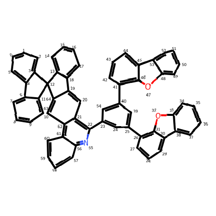 c1ccc2c(c1)-c1ccccc1C21c2ccccc2-c2cc3c(-c4cc(-c5cccc6c5oc5ccccc56)cc(-c5cccc6c5oc5ccccc56)c4)nc4ccccc4c3cc21